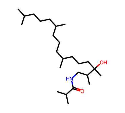 CC(C)CCCC(C)CCCC(C)CCCC(C)(O)C(C)CNC(=O)C(C)C